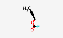 CC#CCOC(=O)F